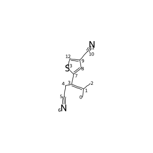 CC(C)=C(CC#N)c1cc(C#N)cs1